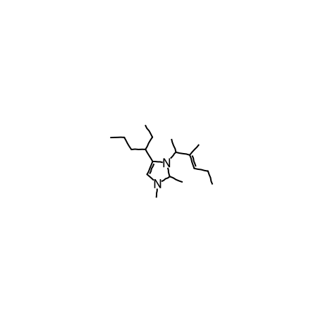 CCC=C(C)C(C)N1C(C(CC)CCC)=CN(C)C1C